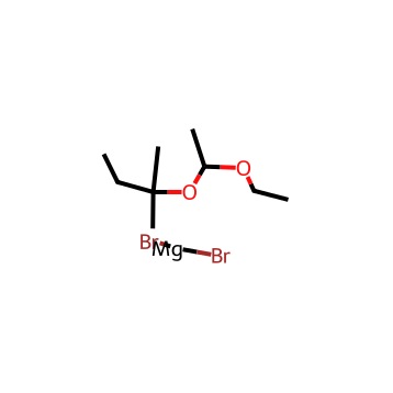 CCOC(C)OC(C)(C)CC.[Br][Mg][Br]